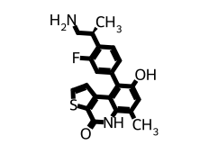 Cc1cc(O)c(-c2ccc([C@H](C)CN)c(F)c2)c2c1[nH]c(=O)c1sccc12